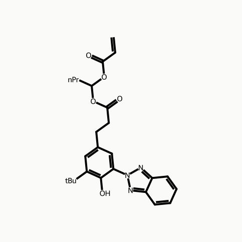 C=CC(=O)OC(CCC)OC(=O)CCc1cc(-n2nc3ccccc3n2)c(O)c(C(C)(C)C)c1